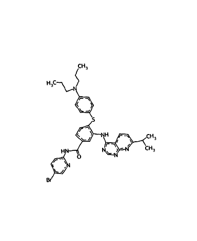 CCCN(CCC)c1ccc(Sc2ccc(C(=O)Nc3ccc(Br)cn3)cc2Nc2ncnc3nc(C(C)C)ccc23)cc1